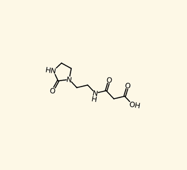 O=C(O)CC(=O)NCCN1CCNC1=O